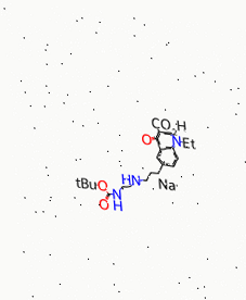 CCn1cc(C(=O)O)c(=O)c2cc(CCCNCCNC(=O)OC(C)(C)C)ccc21.[Na]